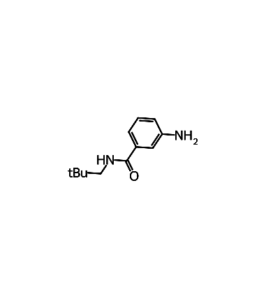 CC(C)(C)CNC(=O)c1cccc(N)c1